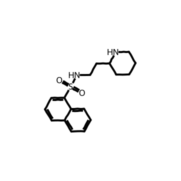 O=S(=O)(NCCC1CCCCN1)c1cccc2ccccc12